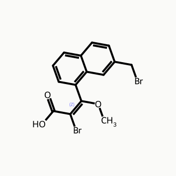 CO/C(=C(\Br)C(=O)O)c1cccc2ccc(CBr)cc12